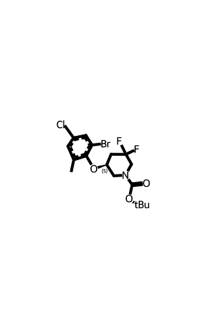 Cc1cc(Cl)cc(Br)c1O[C@@H]1CN(C(=O)OC(C)(C)C)CC(F)(F)C1